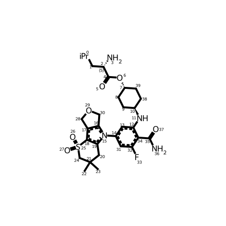 CC(C)C[C@H](N)C(=O)O[C@H]1CC[C@H](Nc2cc(-n3c4c(c5c3CC(C)(C)CS5(=O)=O)COC4)cc(F)c2C(N)=O)CC1